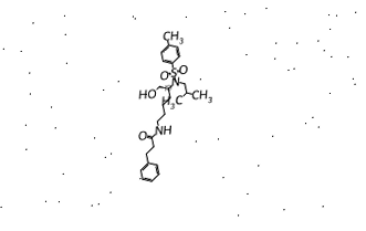 Cc1ccc(S(=O)(=O)N(CC(C)C)[C@H](CO)CCCCNC(=O)CCc2ccccc2)cc1